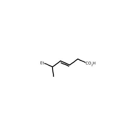 CCC(C)C=CCC(=O)O